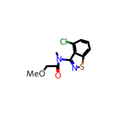 COCC(=O)N(C)c1nsc2cccc(Cl)c12